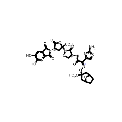 Nc1nc(/C(=N/OC2(C(=O)O)CC3CCC(C2)O3)C(=O)N[C@H]2CON(C3(C(=O)O)C[C@H](N4C(=O)c5cc(O)c(O)nc5C4=O)C(=O)O3)C2=O)cs1